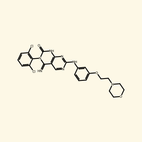 N=c1c2cnc(Nc3cccc(OCCN4CCOCC4)c3)nc2[nH]c(=O)n1-c1c(Cl)cccc1Cl